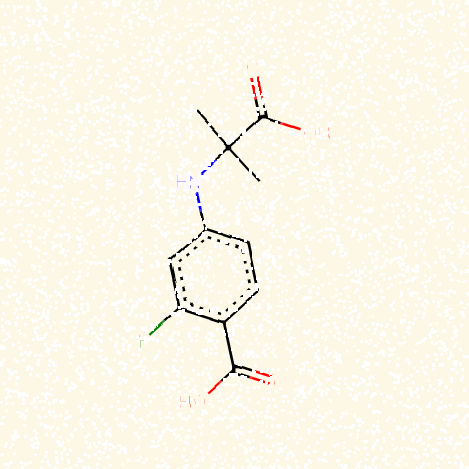 CC(C)(Nc1ccc(C(=O)O)c(F)c1)C(=O)O